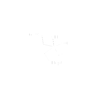 CCCCCCCCP(O)(O)(S)CCCCCCCC